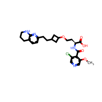 COc1cncc(Cl)c1C(=O)N[C@@H](CCOC1CC(CCc2ccc3c(n2)NCCC3)C1)C(=O)O